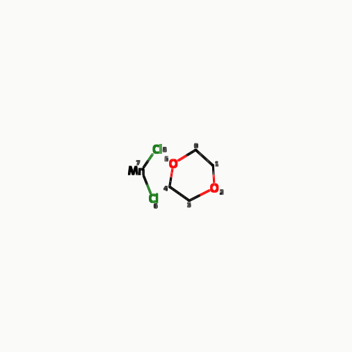 C1COCCO1.[Cl][Mn][Cl]